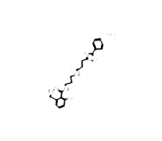 COc1ccc(-c2noc(CCC(=O)NCCCNc3n[nH]c(=O)c4cccc([N+](=O)[O-])c34)n2)cc1